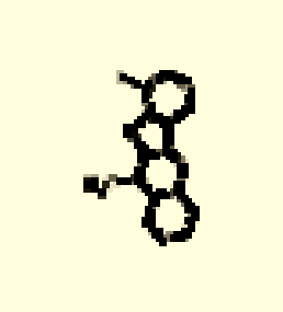 Cc1c2ccccc2cc2c1oc1c(I)cccc12